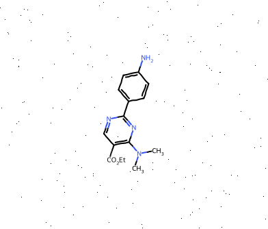 CCOC(=O)c1cnc(-c2ccc(N)cc2)nc1N(C)C